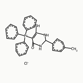 Cc1ccc(C2NC(=O)C([P+](c3ccccc3)(c3ccccc3)c3ccccc3)=C(S)N2)cc1.[Cl-]